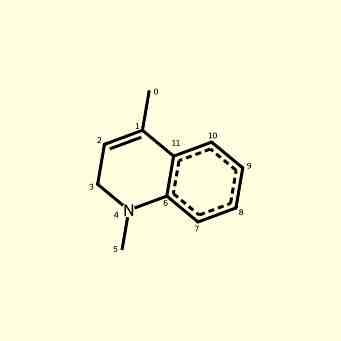 CC1=CCN(C)c2ccccc21